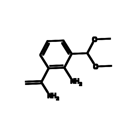 C=C(N)c1cccc(C(OC)OC)c1N